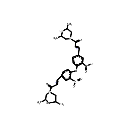 CC1CN(C(=O)/C=C/c2ccc(Sc3ccc(/C=C/C(=O)N4CC(C)NC(C)C4)cc3[N+](=O)[O-])c([N+](=O)[O-])c2)CC(C)N1